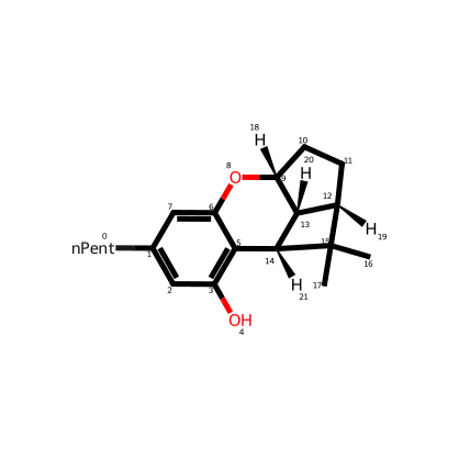 CCCCCc1cc(O)c2c(c1)O[C@@H]1CC[C@H]3[C@@H]1[C@@H]2C3(C)C